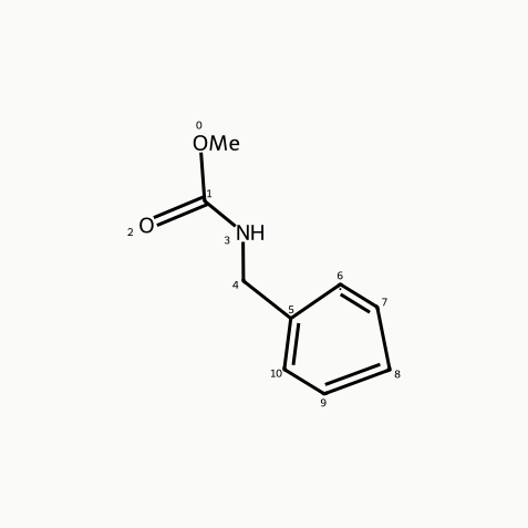 COC(=O)NCc1[c]cccc1